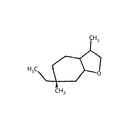 CC[C@]1(C)CCC2C(C)COC2C1